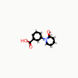 O=C(O)c1cccc(-n2ccccc2=O)c1